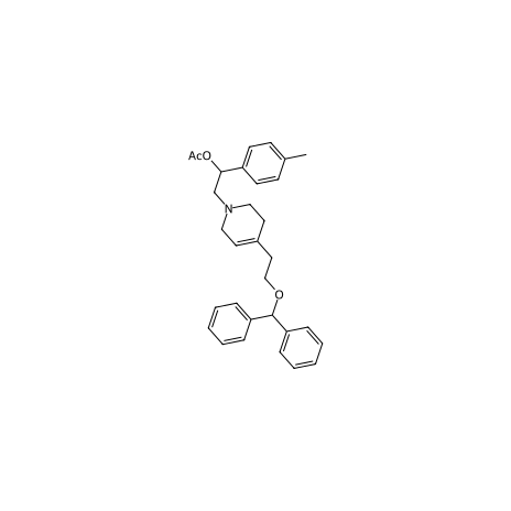 CC(=O)OC(CN1CC=C(CCOC(c2ccccc2)c2ccccc2)CC1)c1ccc(C)cc1